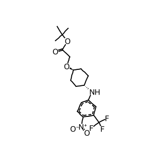 CC(C)(C)OC(=O)CO[C@H]1CC[C@H](Nc2ccc([N+](=O)[O-])c(C(F)(F)F)c2)CC1